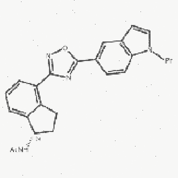 CC(=O)N[C@H]1CCc2c(-c3noc(-c4ccc5c(ccn5C(C)C)c4)n3)cccc21